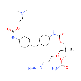 CCC(COCCCN=[N+]=[N-])(COC(N)=O)COC(=O)NC1CCC(CC2CCC(NC(=O)OCCN(C)C)CC2)CC1